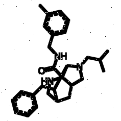 Cc1cccc(CNC(=O)C23NCC4CC2CN(CC(C)C)C3C4Cc2ccccc2)c1